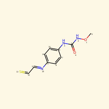 CONC(=O)Nc1ccc(N=CC=S)cc1